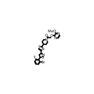 COc1nccnc1OCC(=O)N1CCC(c2nc(C3=NOC(c4c(F)cccc4Br)C3)cs2)CC1